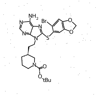 CC(C)(C)OC(=O)N1CCC[C@@H](CCn2c(Sc3cc4c(cc3Br)OCO4)nc3c(N)ncnc32)C1